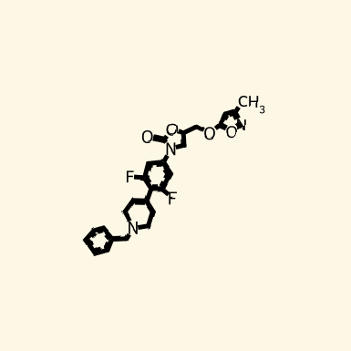 Cc1cc(OCC2CN(c3cc(F)c(C4=CCN(Cc5ccccc5)CC4)c(F)c3)C(=O)O2)on1